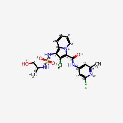 CC(CO)NS(=O)(=O)Nc1c(Cl)c(C(=O)Nc2cc(F)nc(C#N)c2)n2ccccc12